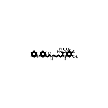 Cc1cc(NC(CCCCNC(=O)Cc2cccc(Oc3ccccc3)c2)C(=O)NO)cc(C)c1F